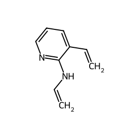 C=CNc1ncccc1C=C